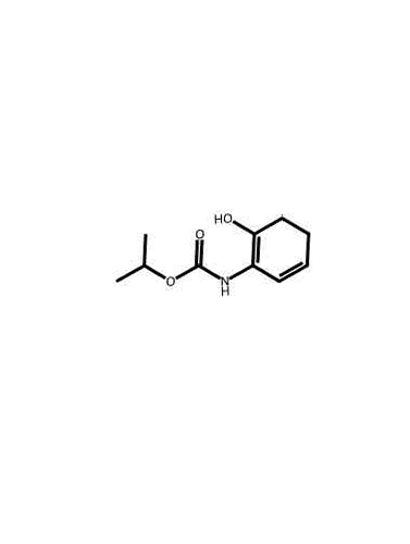 CC(C)OC(=O)NC1=C(O)[CH]CC=C1